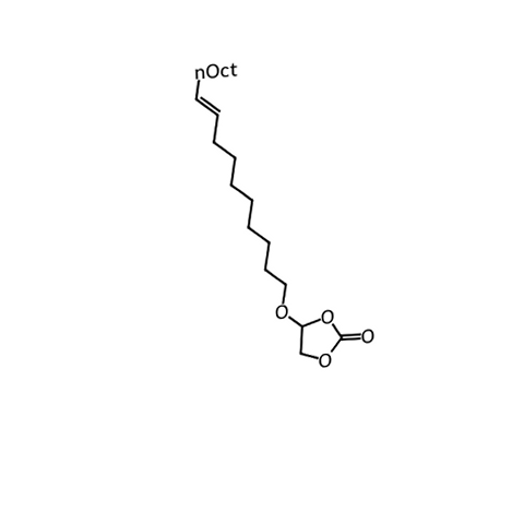 CCCCCCCCC=CCCCCCCCCOC1COC(=O)O1